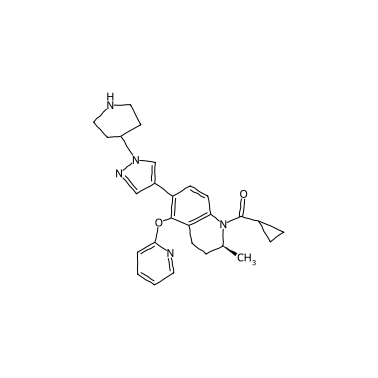 C[C@H]1CCc2c(ccc(-c3cnn(C4CCNCC4)c3)c2Oc2ccccn2)N1C(=O)C1CC1